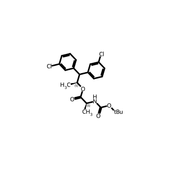 C[C@H](NC(=O)OC(C)(C)C)C(=O)O[C@@H](C)C(c1cccc(Cl)c1)c1cccc(Cl)c1